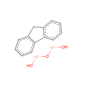 OBOBO.c1ccc2c(c1)Cc1ccccc1-2